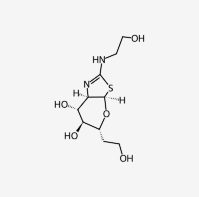 OCCNC1=N[C@@H]2[C@@H](O)[C@H](O)[C@@H](CCO)O[C@@H]2S1